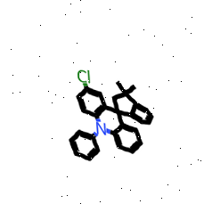 CC1(C)CC2(c3ccccc3N(c3ccccc3)c3ccc(Cl)cc32)c2ccccc21